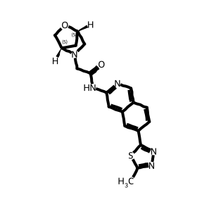 Cc1nnc(-c2ccc3cnc(NC(=O)CN4C[C@@H]5C[C@H]4CO5)cc3c2)s1